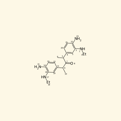 CCNc1cc(C(C)C(=O)C(C)c2ccc(N)c(NCC)c2)ccc1N